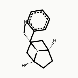 NC[C@@H]1C[C@H]2CC[C@@H](C1)N2Cc1ccccc1